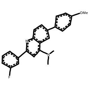 COc1ccc(-c2ccc3nc(-c4cccc(F)c4)cc(N(C)C)c3c2)cc1